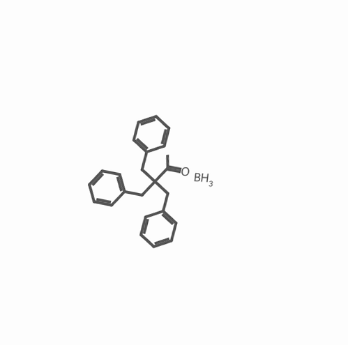 B.CC(=O)C(Cc1ccccc1)(Cc1ccccc1)Cc1ccccc1